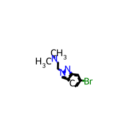 CN(C)CCn1cc2ccc(Br)cc2n1